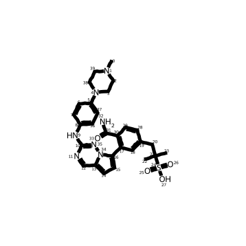 CN1CCN(c2ccc(Nc3ncc4ccc(-c5cc(CC(C)(C)S(=O)(=O)O)ccc5C(N)=O)n4n3)cc2)CC1